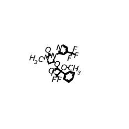 COC(C(=O)OC1CN(C)C(=O)N1c1cc(C(F)(F)F)ccn1)(c1ccccc1)C(F)(F)F